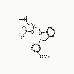 COc1cccc(CCc2ccccc2OC[C@@H](CCN(C)C)OC(=O)C(F)(F)F)c1